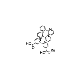 O=C(O)c1ccnc(-c2cc(C(=O)O)ccn2)c1.[Ru].c1ccc(-c2ccccn2)nc1.c1ccc(-c2ccccn2)nc1